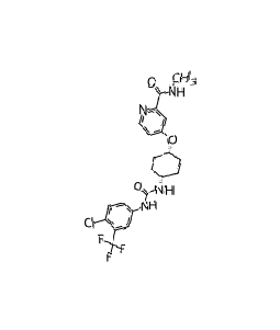 CNC(=O)c1cc(O[C@H]2CC[C@@H](NC(=O)Nc3ccc(Cl)c(C(F)(F)F)c3)CC2)ccn1